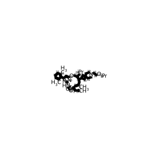 C#C/C=C1\C=C(/C)CC(C2CC3(CCN(CCOC(C)C)CC3)C2)C(CC(C)C)COc2cc(-c3c(C)cccc3C)nc(n2)NS1(=O)=O